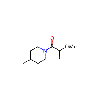 COC(C)C(=O)N1CCC(C)CC1